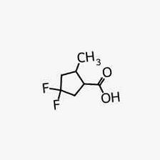 CC1CC(F)(F)CC1C(=O)O